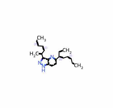 C=C/C=C\C=C(/C=C)c1ccc2[nH]nc(C(=C)/C=C\C=C/C)c2n1